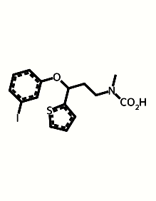 CN(CCC(Oc1cccc(I)c1)c1cccs1)C(=O)O